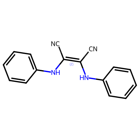 N#C/C(Nc1ccccc1)=C(\C#N)Nc1ccccc1